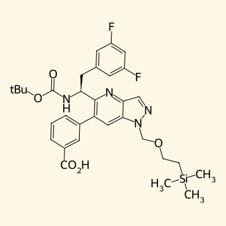 CC(C)(C)OC(=O)N[C@@H](Cc1cc(F)cc(F)c1)c1nc2cnn(COCC[Si](C)(C)C)c2cc1-c1cccc(C(=O)O)c1